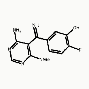 CNc1ncnc(N)c1C(=N)c1ccc(F)c(O)c1